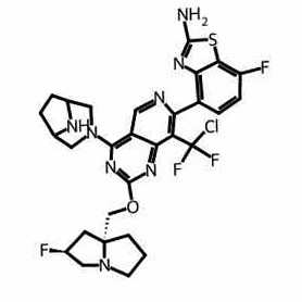 Nc1nc2c(-c3ncc4c(N5CC6CCC(C5)N6)nc(OC[C@]56CCCN5C[C@@H](F)C6)nc4c3C(F)(F)Cl)ccc(F)c2s1